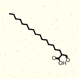 CCCCCCCCCCCCCCCCC(C=O)C(=O)O